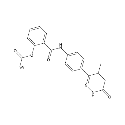 CCCC(=O)Oc1ccccc1C(=O)Nc1ccc(C2=NNC(=O)CC2C)cc1